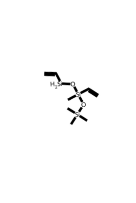 C=C[SiH2]O[Si](C)(C=C)O[Si](C)(C)C